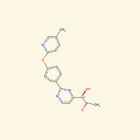 CC(=O)[C@H](O)c1ccnc(-c2ccc(Oc3ccc(C)cn3)cc2)n1